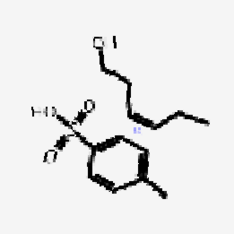 CC/C=C\CCO.Cc1ccc(S(=O)(=O)O)cc1